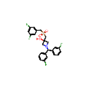 O=S(=O)(Cc1cc(F)cc(F)c1)CC1(O)CN(C(c2cccc(F)c2)c2cccc(F)c2)C1